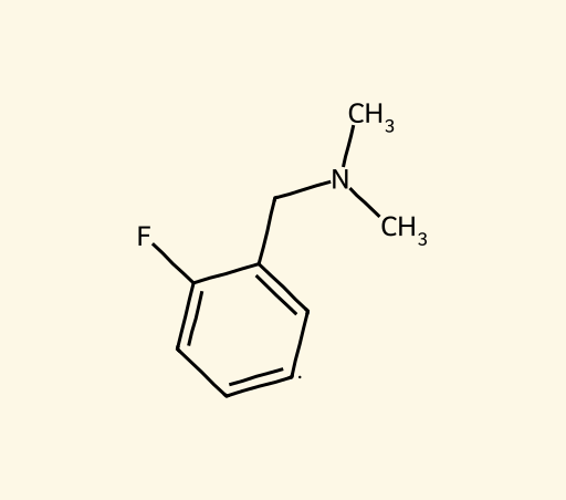 CN(C)Cc1c[c]ccc1F